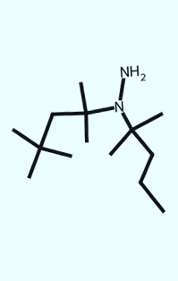 CCCC(C)(C)N(N)C(C)(C)CC(C)(C)C